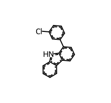 Clc1cccc(-c2cccc3c2[nH]c2ccccc23)c1